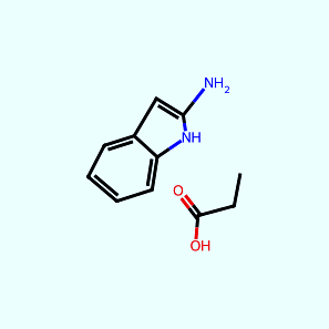 CCC(=O)O.Nc1cc2ccccc2[nH]1